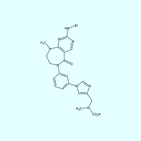 CCNc1ncc2c(n1)N(C)CCN(c1cccc(-n3cnc(CN(C)C(=O)O)c3)c1)C2=O